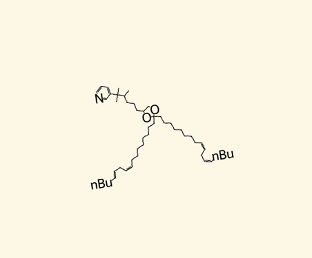 CCCC/C=C\C/C=C\CCCCCCCCC1(CCCCCCCC/C=C\C/C=C/CCCC)OCC(CCCC(C)C(C)(C)c2cccnc2)O1